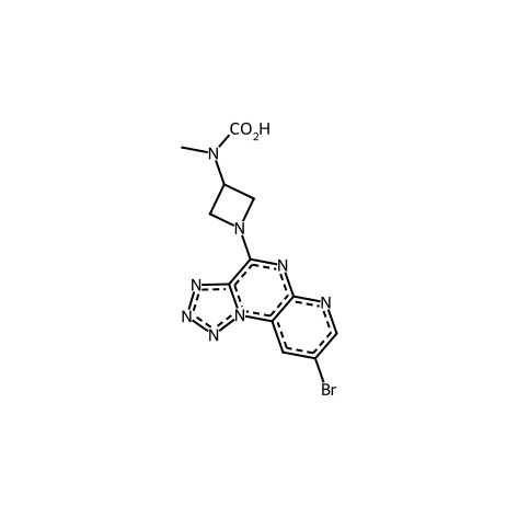 CN(C(=O)O)C1CN(c2nc3ncc(Br)cc3n3nnnc23)C1